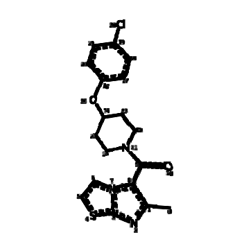 Cc1nc2sccn2c1C(=O)N1CCC(Oc2ccc(Cl)cc2)CC1